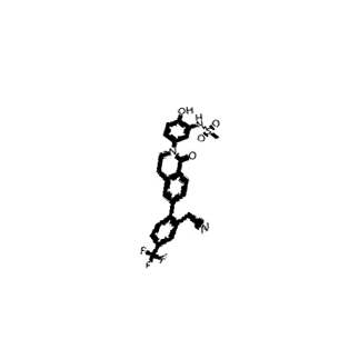 CS(=O)(=O)Nc1cc(N2CCc3cc(-c4ccc(C(F)(F)F)cc4CC#N)ccc3C2=O)ccc1O